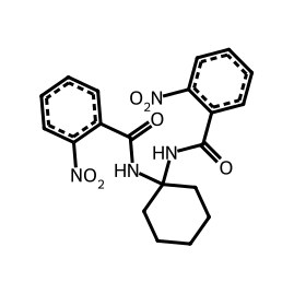 O=C(NC1(NC(=O)c2ccccc2[N+](=O)[O-])CCCCC1)c1ccccc1[N+](=O)[O-]